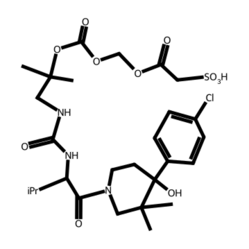 CC(C)C(NC(=O)NCC(C)(C)OC(=O)OCOC(=O)CS(=O)(=O)O)C(=O)N1CCC(O)(c2ccc(Cl)cc2)C(C)(C)C1